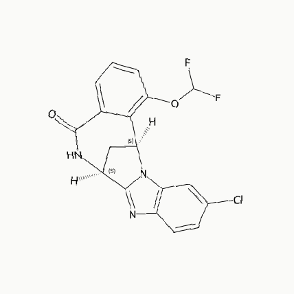 O=C1N[C@H]2C[C@@H](c3c(OC(F)F)cccc31)n1c2nc2ccc(Cl)cc21